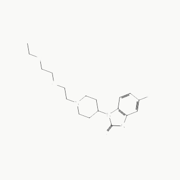 CCOCCOCCN1CCC(n2c(=O)[nH]c3cc(Cl)ccc32)CC1